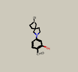 N#CB1CCC2(CCN(c3ccc(C=O)c(O)c3)C2)C1